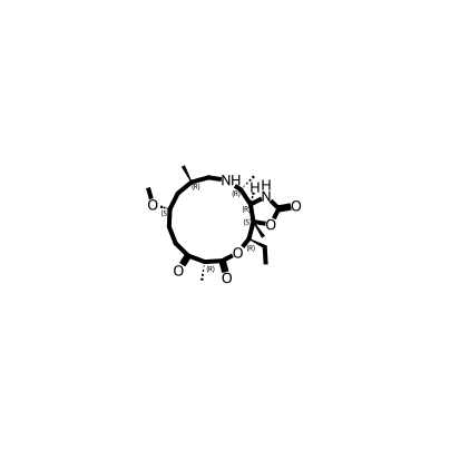 CC[C@H]1OC(=O)[C@H](C)C(=O)CC[C@H](OC)C[C@@H](C)CN[C@H](C)[C@H]2NC(=O)O[C@@]21C